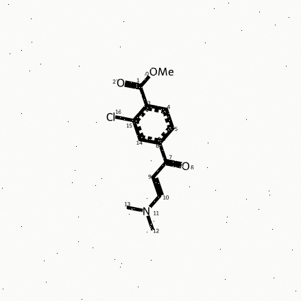 COC(=O)c1ccc(C(=O)C=CN(C)C)cc1Cl